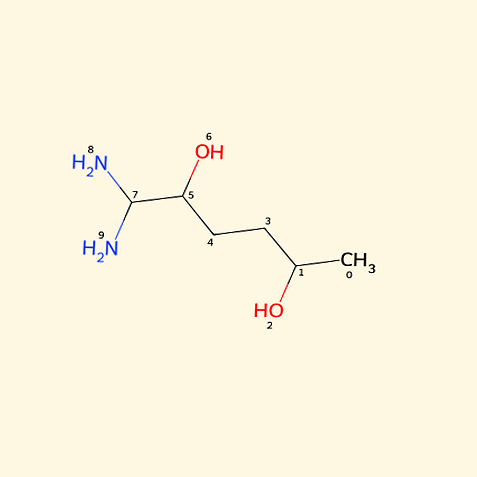 CC(O)CCC(O)C(N)N